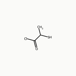 CC(S)C(=O)Cl